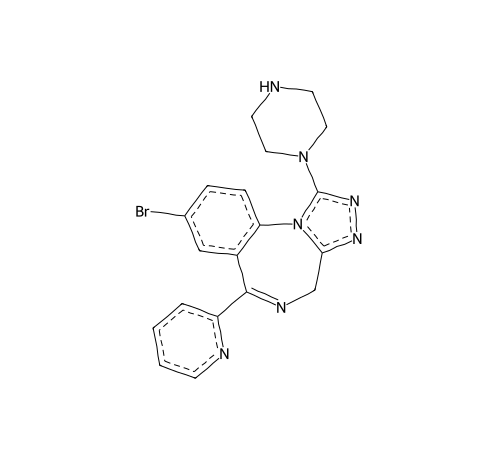 Brc1ccc2c(c1)C(c1ccccn1)=NCc1nnc(N3CCNCC3)n1-2